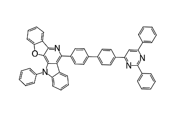 c1ccc(-c2cc(-c3ccc(-c4ccc(-c5nc6c7ccccc7oc6c6c5c5ccccc5n6-c5ccccc5)cc4)cc3)nc(-c3ccccc3)n2)cc1